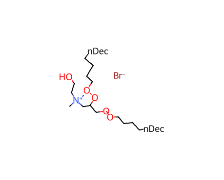 CCCCCCCCCCCCCCOOCC(C[N+](C)(C)CCO)OOCCCCCCCCCCCCCC.[Br-]